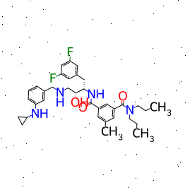 CCCN(CCC)C(=O)c1cc(C)cc(C(=O)N[C@@H](Cc2cc(F)cc(F)c2)[C@H](O)CNCc2cccc(NC3CC3)c2)c1